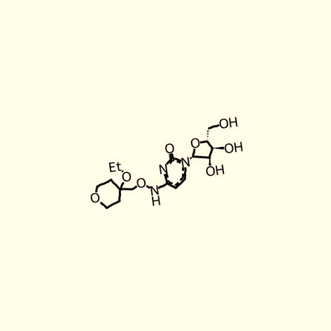 CCOC1(CONc2ccn([C@@H]3O[C@H](CO)[C@@H](O)[C@H]3O)c(=O)n2)CCOCC1